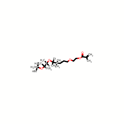 C=C(C)C(=O)OCCOCCC[Si](C)(C)C(C)(CC)O[Si](C)(C)C(C)(CC)O[Si](C)(C)CCCC